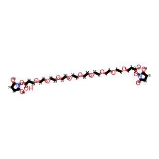 O=C(CCOCCOCCOCCOCCOCCOCCOCCOCCOCCC(O)ON1C(=O)CCC1=O)ON1C(=O)CCC1=O